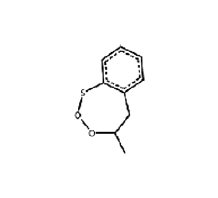 CC1Cc2cc[c]cc2SOO1